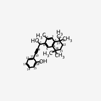 Cc1cc2c(cc1C(O)C#Cc1ccccc1O)C(C)(C)CCC2(C)C